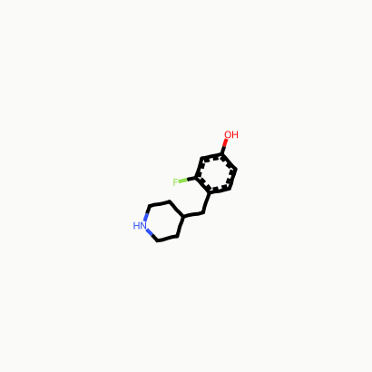 Oc1ccc(CC2CCNCC2)c(F)c1